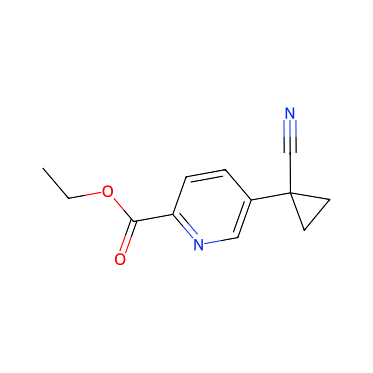 CCOC(=O)c1ccc(C2(C#N)CC2)cn1